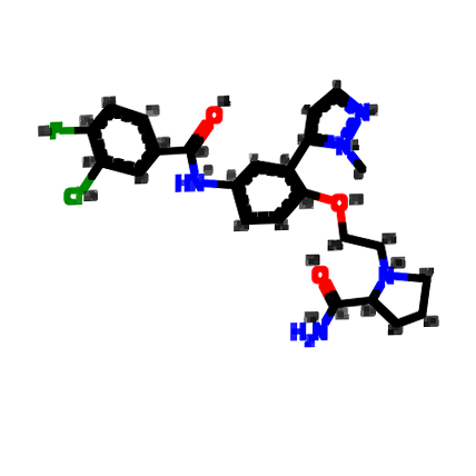 Cn1nccc1-c1cc(NC(=O)c2ccc(F)c(Cl)c2)ccc1OCCN1CCCC1C(N)=O